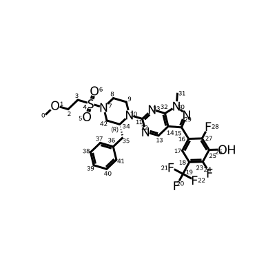 COCCS(=O)(=O)N1CCN(c2ncc3c(-c4cc(C(F)(F)F)c(F)c(O)c4F)nn(C)c3n2)[C@H](Cc2ccccc2)C1